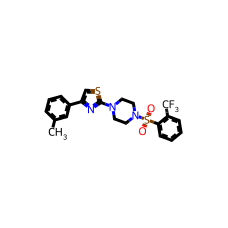 Cc1cccc(-c2csc(N3CCN(S(=O)(=O)c4ccccc4C(F)(F)F)CC3)n2)c1